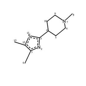 Cc1nc(C2CCN(C)CC2)sc1C